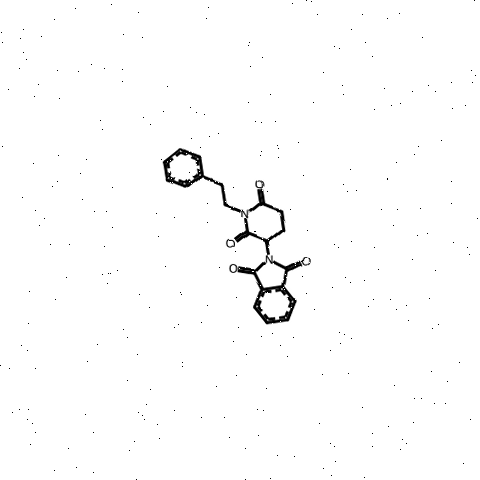 O=C1CCC(N2C(=O)c3ccccc3C2=O)C(=O)N1CCc1ccccc1